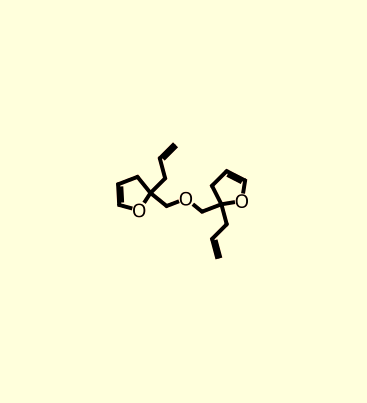 C=CCC1(COCC2(CC=C)CC=CO2)CC=CO1